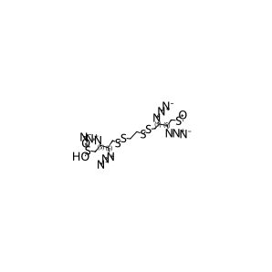 [N-]=[N+]=N[C@H](CSSCCSSC[C@@H](N=[N+]=[N-])[C@@H](CS(=O)O)N=[N+]=[N-])[C@@H](C[S]=O)N=[N+]=[N-]